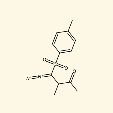 CC(=O)C(C)C(=[N+]=[N-])S(=O)(=O)c1ccc(C)cc1